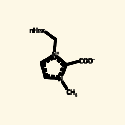 CCCCCCC[n+]1ccn(C)c1C(=O)[O-]